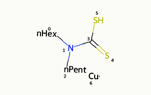 CCCCCCN(CCCCC)C(=S)S.[Cu]